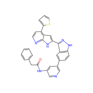 O=C(Cc1ccccc1)Nc1cncc(-c2ccc3[nH]nc(-c4cc5c(-c6cccs6)ccnc5[nH]4)c3c2)c1